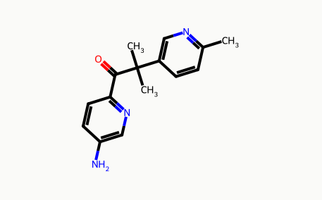 Cc1ccc(C(C)(C)C(=O)c2ccc(N)cn2)cn1